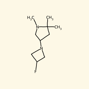 CN1CC(N2CC(F)C2)CC1(C)C